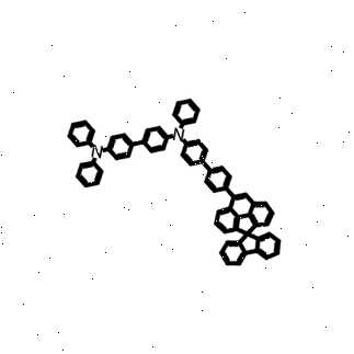 c1ccc(N(c2ccccc2)c2ccc(-c3ccc(N(c4ccccc4)c4ccc(-c5ccc(-c6cc7cccc8c7c7c(cccc67)C86c7ccccc7-c7ccccc76)cc5)cc4)cc3)cc2)cc1